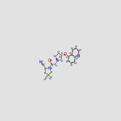 N#CC1CC(F)(F)CN1C(=O)CN1CC[C@H](Oc2cccc3ncccc23)C1